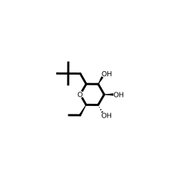 CC[C@H]1OC(CC(C)(C)C)[C@@H](O)[C@@H](O)[C@@H]1O